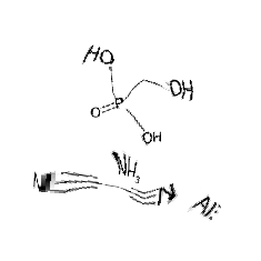 N.N#CC#N.O=P(O)(O)O.[Al]